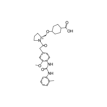 COc1cc(CC(=O)N2CCC[C@H]2COC2CCC(C(=O)O)CC2)ccc1NC(=O)Nc1ccccc1C